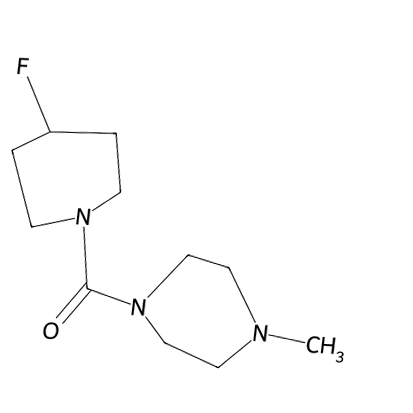 CN1CCN(C(=O)N2CCC(F)CC2)CC1